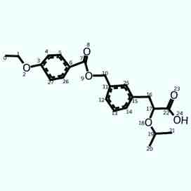 CCOc1ccc(C(=O)OCc2cccc(CC(OC(C)C)C(=O)O)c2)cc1